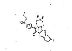 CCOC(=O)c1ccc(NC(=O)c2cc3ccc(F)cc3nc2N2CCCC(F)(F)CC2)o1